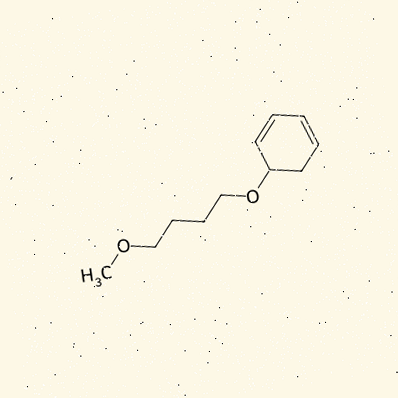 COCCCCOC1C=CC=CC1